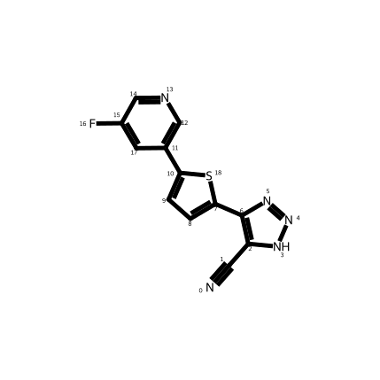 N#Cc1[nH]nnc1-c1ccc(-c2cncc(F)c2)s1